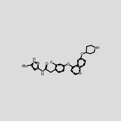 CC(C)(C)c1cc(NC(=O)Cc2ccc(Oc3ccnc4ccc(OC5CCNCC5)cc34)cc2F)n[nH]1